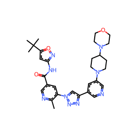 Cc1ncc(C(=O)Nc2cc(C(C)(C)C)on2)cc1-n1cc(-c2cncc(N3CCC(N4CCOCC4)CC3)c2)nn1